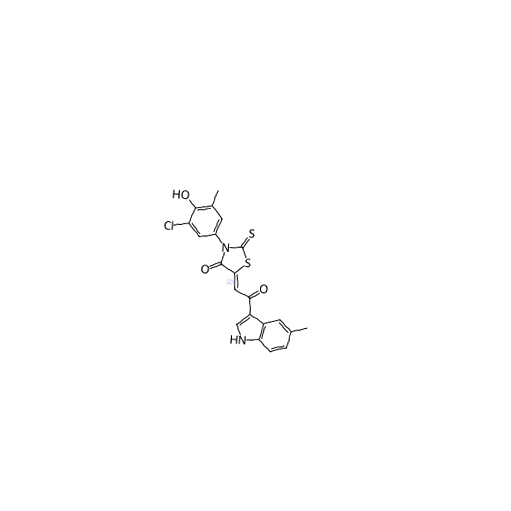 Cc1ccc2[nH]cc(C(=O)/C=C3\SC(=S)N(c4cc(C)c(O)c(Cl)c4)C3=O)c2c1